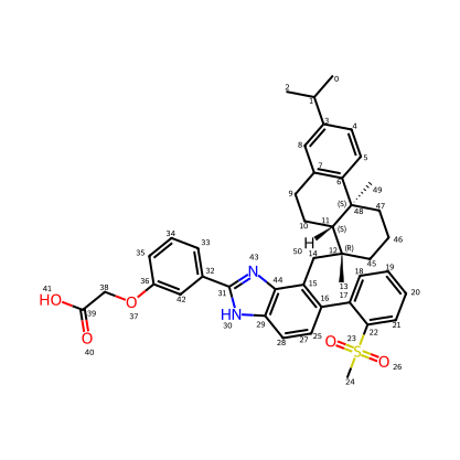 CC(C)c1ccc2c(c1)CC[C@H]1[C@@](C)(Cc3c(-c4ccccc4S(C)(=O)=O)ccc4[nH]c(-c5cccc(OCC(=O)O)c5)nc34)CCC[C@]21C